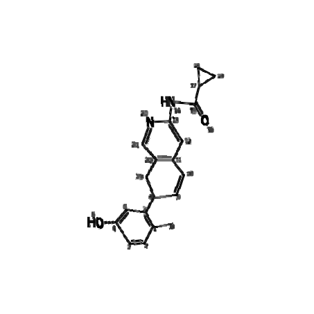 Cc1ccc(O)cc1C1C=Cc2cc(NC(=O)C3CC3)ncc2C1